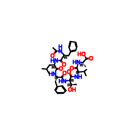 CC(=O)N[C@@H](Cc1ccccc1)C(=O)N[C@H](CC(C)C)C(=O)N[C@@H](Cc1ccccc1)C(=O)N[C@@H](C(=O)N[C@H](C(=O)N[C@@H](C)C(=O)O)C(C)C)[C@@H](C)O